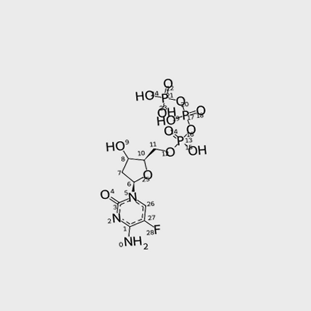 Nc1nc(=O)n([C@H]2CC(O)[C@@H](COP(=O)(O)OP(=O)(O)OP(=O)(O)O)O2)cc1F